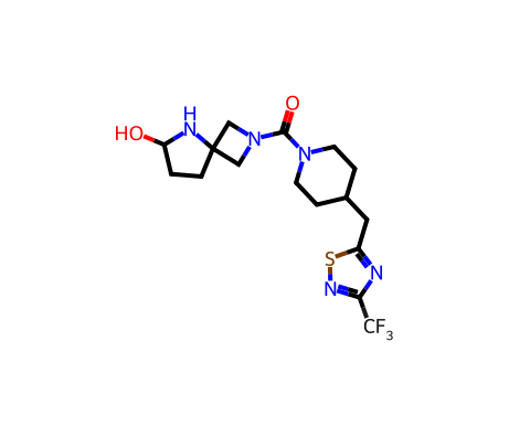 O=C(N1CCC(Cc2nc(C(F)(F)F)ns2)CC1)N1CC2(CCC(O)N2)C1